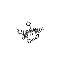 Cc1ccc(CNC(=O)[C@@H]2Cc3cccc(c3)Oc3cccc(c3)C[C@H](NC(=O)OC(C)(C)C)C(=O)N[C@@H](CCc3ccccc3)C(=O)N2)cc1